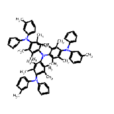 Cc1cccc(N(c2ccccc2)c2c(C)c(C)c(N(c3c(C)c(C)c(N(c4ccccc4)c4cccc(C)c4)c(C)c3C)c3c(C)c(C)c(N(c4ccccc4)c4cccc(C)c4)c(C)c3C)c(C)c2C)c1